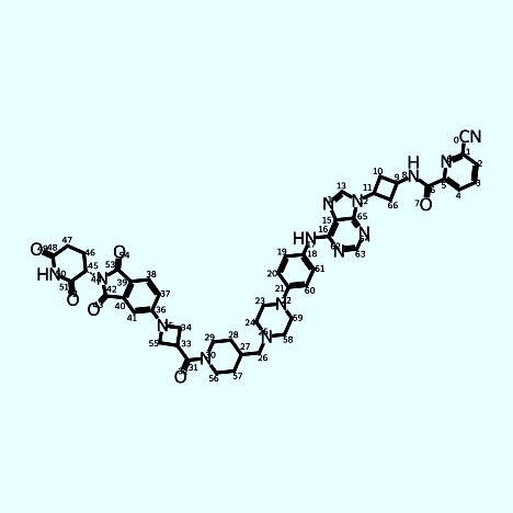 N#Cc1cccc(C(=O)NC2CC(n3cnc4c(Nc5ccc(N6CCN(CC7CCN(C(=O)C8CN(c9ccc%10c(c9)C(=O)N([C@H]9CCC(=O)NC9=O)C%10=O)C8)CC7)CC6)cc5)ncnc43)C2)n1